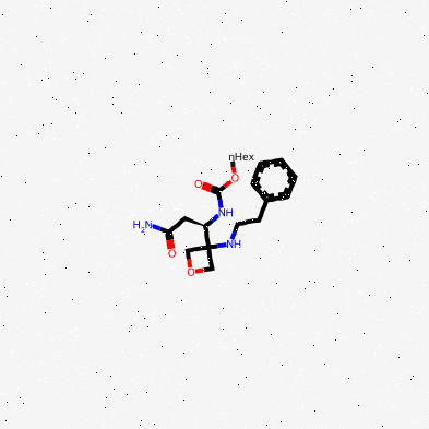 CCCCCCOC(=O)N[C@H](CC(N)=O)C1(NCCc2ccccc2)COC1